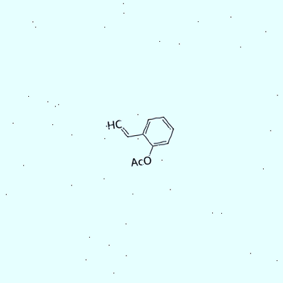 [CH]=Cc1ccccc1OC(C)=O